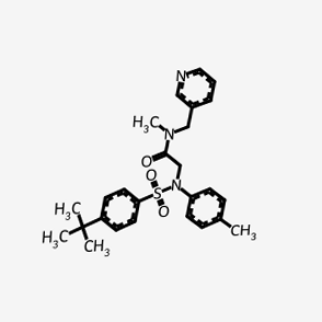 Cc1ccc(N(CC(=O)N(C)Cc2cccnc2)S(=O)(=O)c2ccc(C(C)(C)C)cc2)cc1